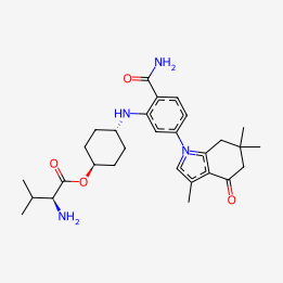 Cc1cn(-c2ccc(C(N)=O)c(N[C@H]3CC[C@H](OC(=O)[C@@H](N)C(C)C)CC3)c2)c2c1C(=O)CC(C)(C)C2